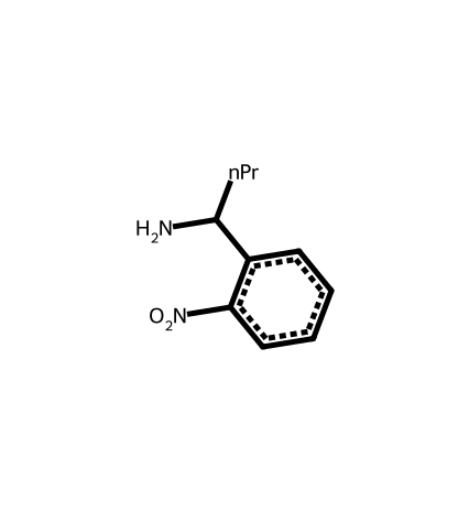 CCCC(N)c1ccccc1[N+](=O)[O-]